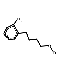 [CH2]COCCCCc1ccccc1C(F)(F)F